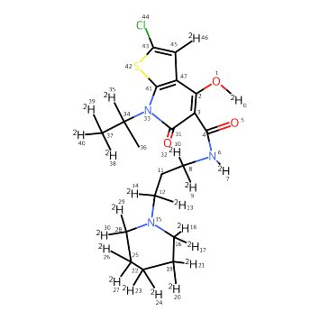 [2H]Oc1c(C(=O)N([2H])C([2H])([2H])CC([2H])([2H])N2C([2H])([2H])C([2H])([2H])C([2H])([2H])C([2H])([2H])C2([2H])[2H])c(=O)n(C([2H])(C)C([2H])([2H])[2H])c2sc(Cl)c([2H])c12